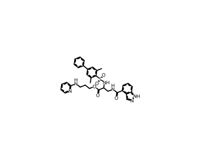 Cc1cc(-c2ccccc2)cc(C)c1S(=O)(=O)NC(CNC(=O)c1cccc2[nH]ncc12)C(=O)OCCCNc1ccccn1